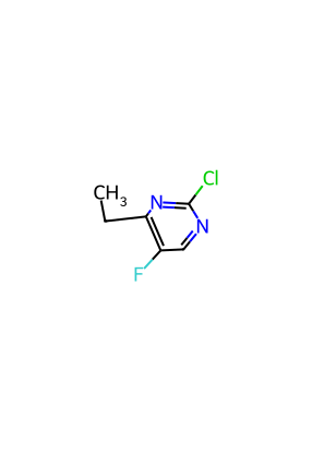 CCc1nc(Cl)ncc1F